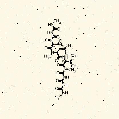 CC[C@H](C(=O)N(C)[C@@H](CC(C)C)C(=O)N[C@H](C(=O)N(C)C(=O)NC(=O)NC(=O)NC)C(C)C)N(C)C(=O)NC(=O)NC